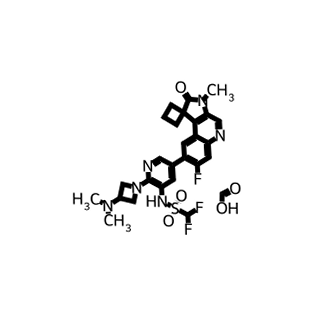 CN1C(=O)C2(CCC2)c2c1cnc1cc(F)c(-c3cnc(N4CC(N(C)C)C4)c(NS(=O)(=O)C(F)F)c3)cc21.O=CO